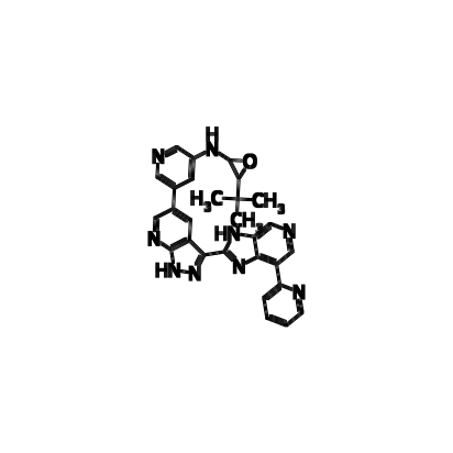 CC(C)(C)C1OC1Nc1cncc(-c2cnc3[nH]nc(-c4nc5c(-c6ccccn6)cncc5[nH]4)c3c2)c1